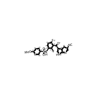 [C-]#[N+]c1cnc2[nH]cc(C(=O)c3c(F)ccc(NS(=O)(=O)c4ccc(OC)nc4)c3F)c2c1